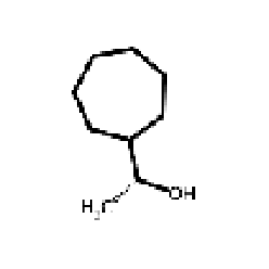 C[C@@H](O)C1CCCCCC1